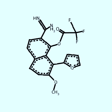 COc1ccc2ccc(C(=N)N)c(OC(=O)C(F)(F)F)c2c1-c1ccco1